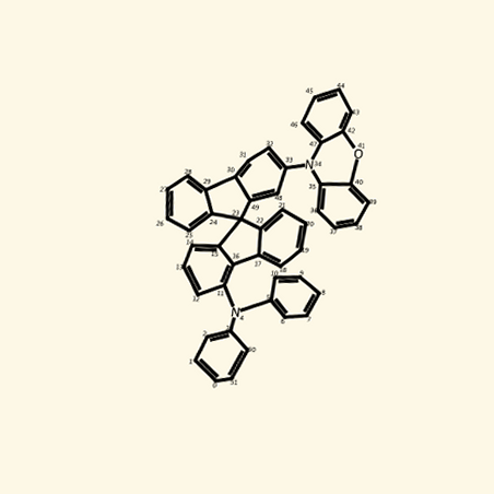 c1ccc(N(c2ccccc2)c2cccc3c2-c2ccccc2C32c3ccccc3-c3ccc(N4c5ccccc5Oc5ccccc54)cc32)cc1